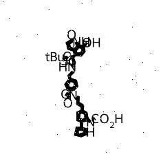 CC(C)(C)[Si](C)(C)OC(CNCCc1ccc2c(c1)oc(=O)n2C/C=C/c1ccc(-c2ccccc2)c(NC(=O)O)c1)c1ccc(O)c2[nH]c(=O)ccc12